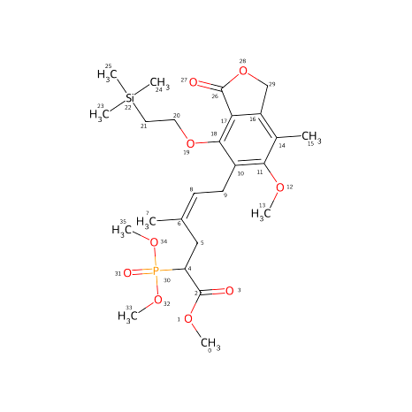 COC(=O)C(CC(C)=CCc1c(OC)c(C)c2c(c1OCC[Si](C)(C)C)C(=O)OC2)P(=O)(OC)OC